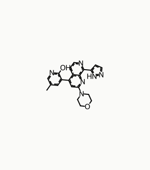 Cc1cnc(O)c(-c2cc(N3CCOCC3)nc3c(-c4ccn[nH]4)nccc23)c1